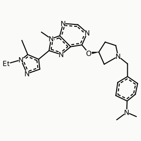 CCn1ncc(-c2nc3c(O[C@H]4CCN(Cc5ccc(N(C)C)cc5)C4)ncnc3n2C)c1C